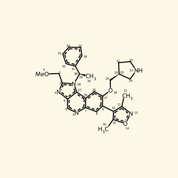 COCc1nc2cnc3cc(-c4c(C)noc4C)c(OC[C@H]4CCNC4)cc3c2n1[C@H](C)c1ccccc1